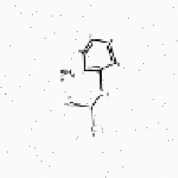 CC(O)Oc1ccccc1.[SiH4]